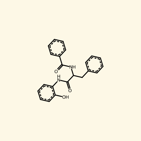 O=C(NC(Cc1ccccc1)C(=O)Nc1ccccc1O)c1ccccc1